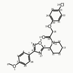 COc1ccc(-c2noc(C3CCCCN3C(=O)COc3ccc(Cl)cc3)n2)cc1